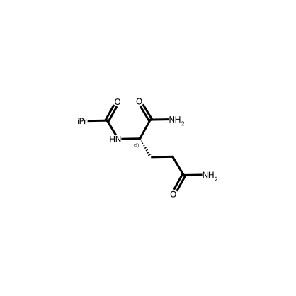 CC(C)C(=O)N[C@@H](CCC(N)=O)C(N)=O